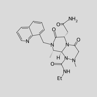 CCNC(=O)N1[C@H]2[C@H](C)N(Cc3cccc4cccnc34)C(=O)[C@H](CC(N)=O)N2C(=O)CN1C